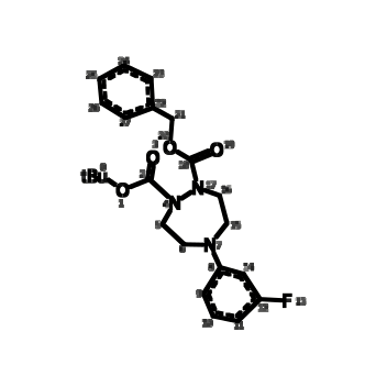 CC(C)(C)OC(=O)N1CCN(c2cccc(F)c2)CCN1C(=O)OCc1ccccc1